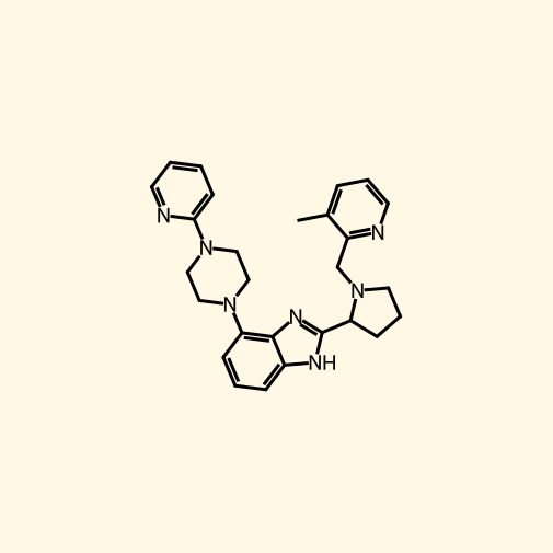 Cc1cccnc1CN1CCCC1c1nc2c(N3CCN(c4ccccn4)CC3)cccc2[nH]1